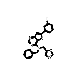 Fc1cccc(-c2cc3ncnc(N(CC4=COCO4)Cc4ccccc4)c3s2)c1